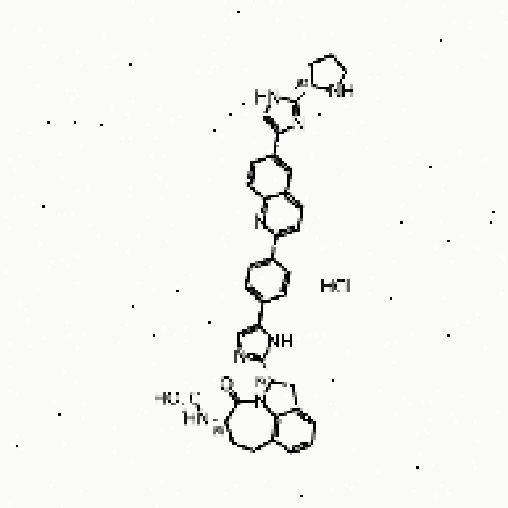 Cl.O=C(O)N[C@H]1CCc2cccc3c2N(C1=O)[C@H](c1ncc(-c2ccc(-c4ccc5cc(-c6c[nH]c([C@@H]7CCCN7)n6)ccc5n4)cc2)[nH]1)C3